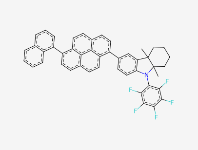 CC12CCCCC1(C)N(c1c(F)c(F)c(F)c(F)c1F)c1ccc(-c3ccc4ccc5c(-c6cccc7ccccc67)ccc6ccc3c4c65)cc12